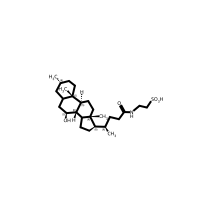 C[C@@H]1CC[C@@]2(C)C(C1)C[C@H](O)[C@H]1C3CC[C@H]([C@H](C)CCC(=O)NCCS(=O)(=O)O)[C@@]3(C)CC[C@@H]12